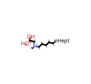 CCCCCCCCCCCCN(C)CC(O)O